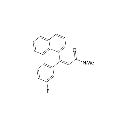 CNC(=O)/C=C(/c1cccc(F)c1)c1cccc2ccccc12